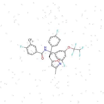 Cc1cc(C[C@@](NC(=O)c2ccc(F)c(C(F)(F)F)c2)(c2ccc(F)cc2)c2cc(F)cc(OC(F)(F)C(F)F)c2)on1